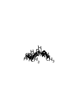 COC(=O)Nc1nc(C)c(S(=O)(=O)N2CCN(CC(C)Nc3ncnc4c(-c5cc(C)ncn5)cccc34)CC2)s1